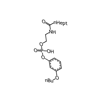 CCCCCCCC(=O)NCCOP(=O)(O)Oc1cccc(OCCCC)c1